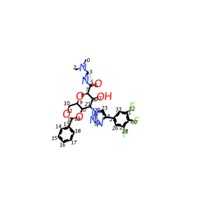 CN(C)/C=N/C(=O)C1OC2COC(c3ccccc3)OC2C(n2cc(-c3cc(F)c(F)c(F)c3)nn2)C1O